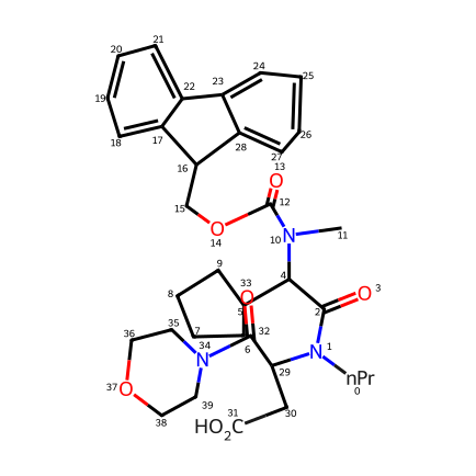 CCCN(C(=O)C(C1CCCC1)N(C)C(=O)OCC1c2ccccc2-c2ccccc21)C(CC(=O)O)C(=O)N1CCOCC1